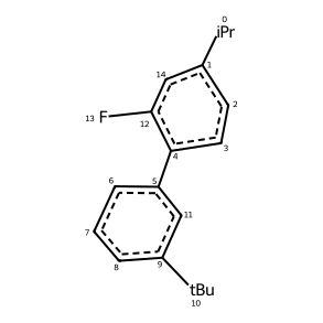 CC(C)c1ccc(-c2cccc(C(C)(C)C)c2)c(F)c1